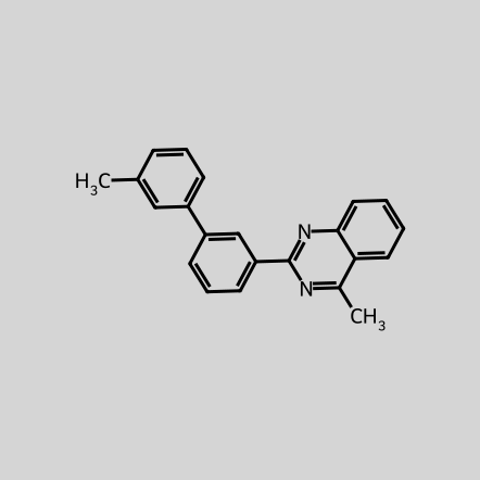 Cc1cccc(-c2cccc(-c3nc(C)c4ccccc4n3)c2)c1